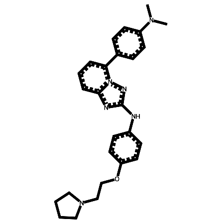 CN(C)c1ccc(-c2cccc3nc(Nc4ccc(OCCN5CCCC5)cc4)nn23)cc1